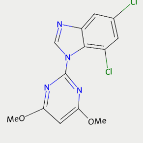 COc1cc(OC)nc(-n2cnc3cc(Cl)cc(Cl)c32)n1